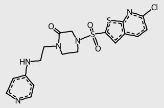 O=C1CN(S(=O)(=O)c2cc3ccc(Cl)nc3s2)CCN1CCNc1ccncc1